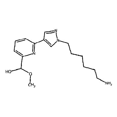 COC(O)c1cccc(-c2cnn(CCCCCCN)c2)n1